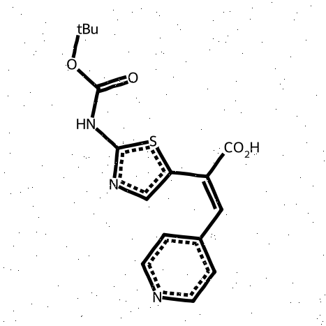 CC(C)(C)OC(=O)Nc1ncc(/C(=C\c2ccncc2)C(=O)O)s1